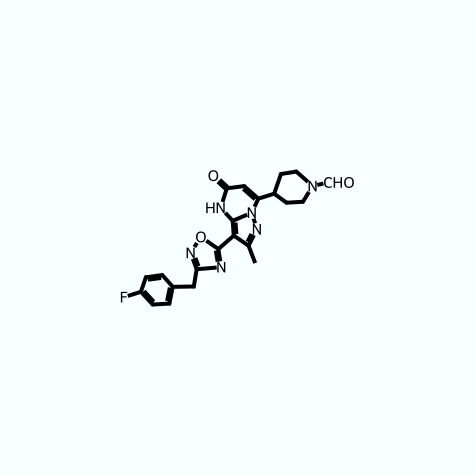 Cc1nn2c(C3CCN(C=O)CC3)cc(=O)[nH]c2c1-c1nc(Cc2ccc(F)cc2)no1